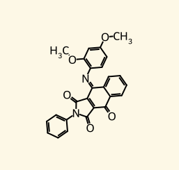 COc1ccc(/N=c2/c3c(=O)n(-c4ccccc4)c(=O)c=3c(=O)c3ccccc23)c(OC)c1